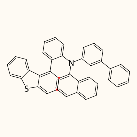 c1ccc(-c2cccc(N(c3ccccc3-c3cccc4sc5ccccc5c34)c3cccc4ccccc34)c2)cc1